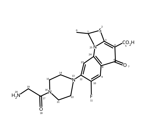 CC1Sc2c(C(=O)O)c(=O)c3cc(F)c(N4CCN(C(=O)CN)CC4)cc3n21